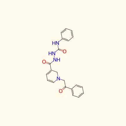 O=C(NNC(=O)C1=CC=CN(CC(=O)c2ccccc2)C1)Nc1ccccc1